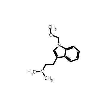 COCn1cc(CCN(C)C)c2ccccc21